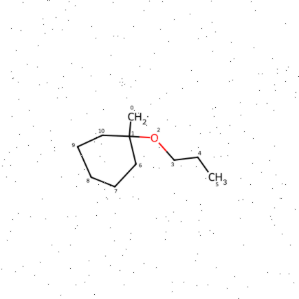 [CH2]C1(OCCC)CCCCC1